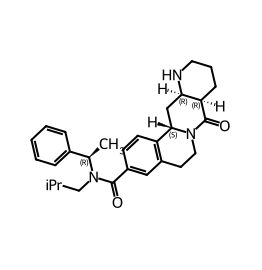 CC(C)CN(C(=O)c1ccc2c(c1)CCN1C(=O)[C@@H]3CCCN[C@@H]3C[C@@H]21)[C@H](C)c1ccccc1